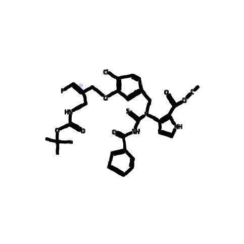 CCOC(=O)c1[nH]ccc1N(Cc1ccc(Cl)c(OC/C(=C/F)CNC(=O)OC(C)(C)C)c1)C(=S)NC(=O)c1ccccc1